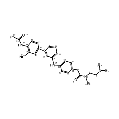 CCN(CC)CCN(CC)C(=O)Cc1ccc(Nc2nccc(-c3ccc(NC(=O)C(C)C)c(C#N)c3)n2)cc1